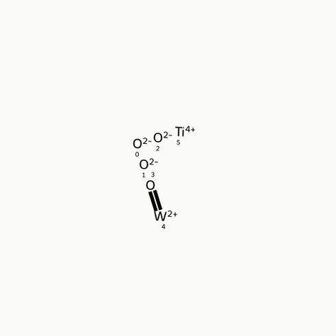 [O-2].[O-2].[O-2].[O]=[W+2].[Ti+4]